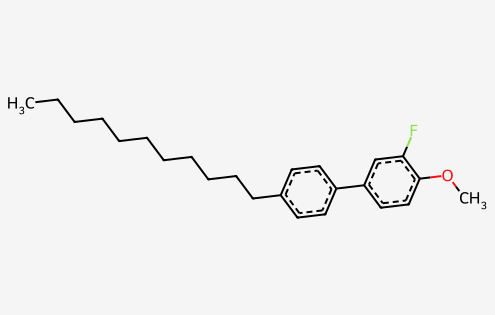 CCCCCCCCCCCc1ccc(-c2ccc(OC)c(F)c2)cc1